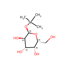 C[Si](C)(C)O[C@H]1O[C@H](CO)[C@H](O)[C@H](O)[C@H]1O